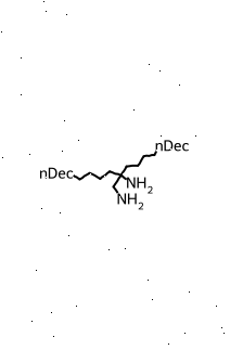 CCCCCCCCCCCCCCC(N)(CN)CCCCCCCCCCCCCC